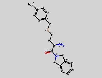 Cc1ccc(CSCC[C@@H](N)C(=O)N2Cc3ccccc3C2)cc1